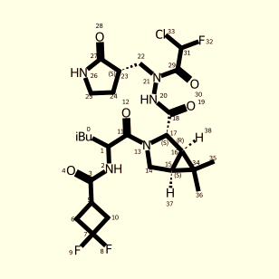 CCC(C)C(NC(=O)C1CC(F)(F)C1)C(=O)N1C[C@H]2[C@@H]([C@H]1C(=O)NN(C[C@@H]1CCNC1=O)C(=O)C(F)Cl)C2(C)C